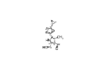 Cc1c(-c2nnc(C3CC3)o2)[nH]c(CO)c1C=O